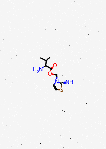 CC(C)C(N)C(=O)OCn1ccsc1=N